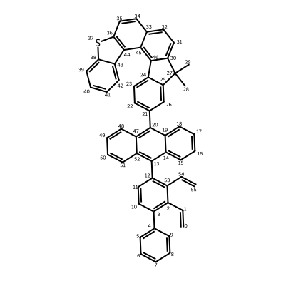 C=Cc1c(-c2ccccc2)ccc(-c2c3ccccc3c(-c3ccc4c(c3)C(C)(C)c3ccc5ccc6sc7ccccc7c6c5c3-4)c3ccccc23)c1C=C